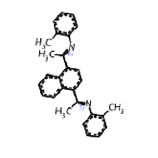 C/C(=N\c1ccccc1C)c1ccc(/C(C)=N/c2ccccc2C)c2ccccc12